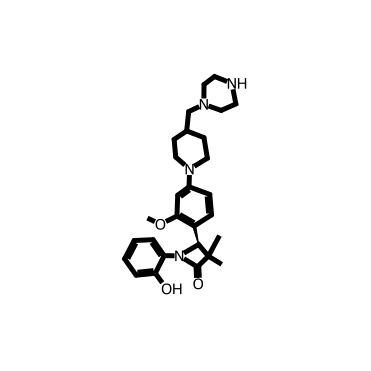 COc1cc(N2CCC(CN3CCNCC3)CC2)ccc1[C@@H]1N(c2ccccc2O)C(=O)C1(C)C